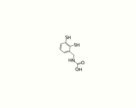 O=C(O)NCc1cccc(S)c1S